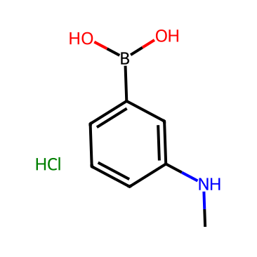 CNc1cccc(B(O)O)c1.Cl